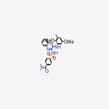 COc1cc(C)c(OC)c(Nc2nc3ccccc3nc2NS(=O)(=O)c2ccc(C(=O)N(C)C)cc2)c1